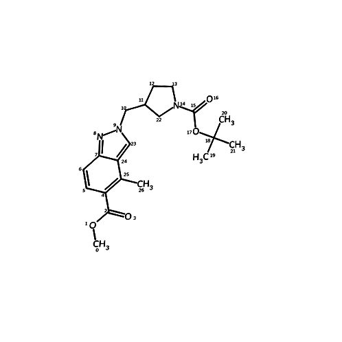 COC(=O)c1ccc2nn(CC3CCN(C(=O)OC(C)(C)C)C3)cc2c1C